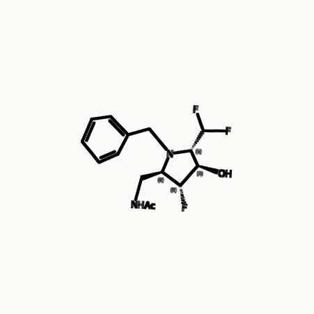 CC(=O)NC[C@@H]1[C@@H](F)[C@H](O)[C@@H](C(F)F)N1Cc1ccccc1